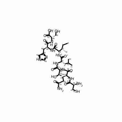 CC[C@H](C)[C@H](NC(=O)[C@H](CC(C)C)NC(=O)[C@@H](NC(=O)[C@H](CCC(N)=O)NC(=O)[C@@H](N)CS)[C@@H](C)O)C(=O)N[C@@H](Cc1c[nH]cn1)C(=O)N[C@@H](CO)C(=O)O